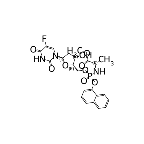 COC(=O)[C@H](C)NP(=O)(OC[C@H]1O[C@@H](n2cc(F)c(=O)[nH]c2=O)C[C@H]1O)Oc1cccc2ccccc12